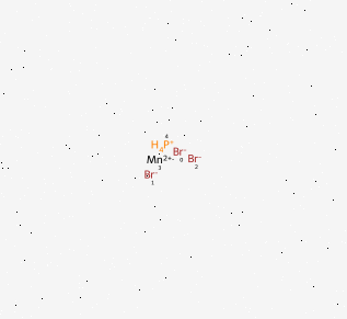 [Br-].[Br-].[Br-].[Mn+2].[PH4+]